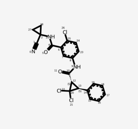 N#CC1(NC(=O)c2cc(NC(=O)[C@@H]3[C@@H](c4ccccc4)C3(Cl)Cl)ccc2Cl)CC1